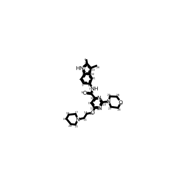 Cc1[nH]c2ccc(NC(=O)c3cc(OCCN4CCCCC4)nc(N4CCOCC4)n3)cc2c1C